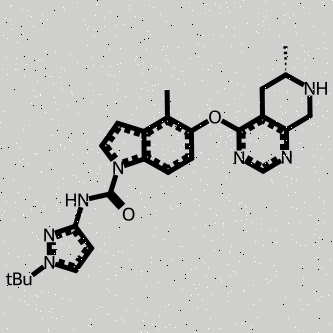 Cc1c(Oc2ncnc3c2C[C@H](C)NC3)ccc2c1ccn2C(=O)Nc1ccn(C(C)(C)C)n1